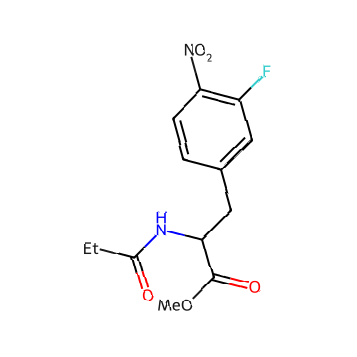 CCC(=O)NC(Cc1ccc([N+](=O)[O-])c(F)c1)C(=O)OC